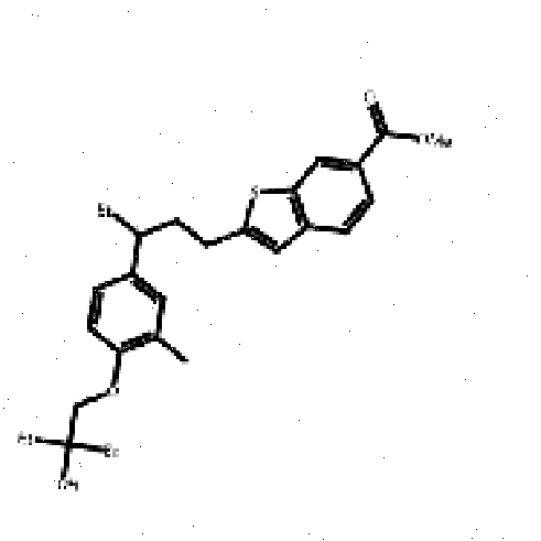 CCC(CCc1cc2ccc(C(=O)OC)cc2s1)c1ccc(OCC(O)(CC)CC)c(C)c1